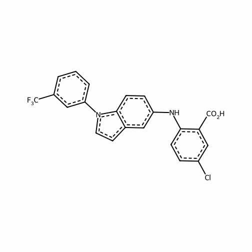 O=C(O)c1cc(Cl)ccc1Nc1ccc2c(ccn2-c2cccc(C(F)(F)F)c2)c1